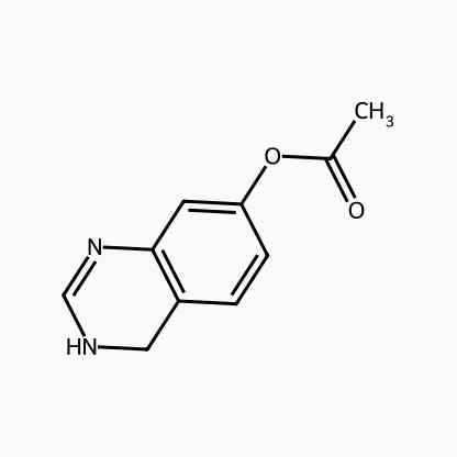 CC(=O)Oc1ccc2c(c1)N=CNC2